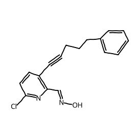 O/N=C/c1nc(Cl)ccc1C#CCCCc1ccccc1